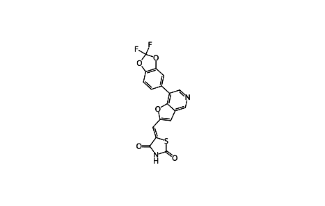 O=C1NC(=O)/C(=C/c2cc3cncc(-c4ccc5c(c4)OC(F)(F)O5)c3o2)S1